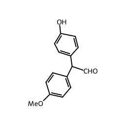 COc1ccc(C(C=O)c2ccc(O)cc2)cc1